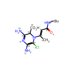 CC(=CC(=O)NC(C)(C)C)N1C(Cl)=C(N)N=C(N)C1C(=O)O